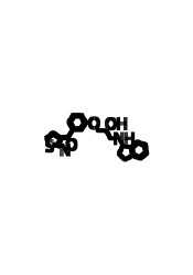 O[C@H](CNC1CCc2ccccc21)COc1cccc(-c2onc3sccc23)c1